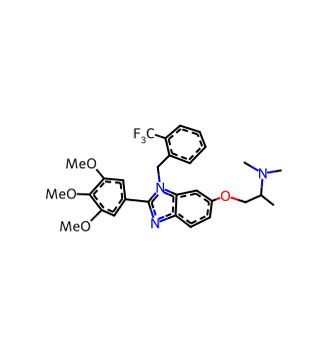 COc1cc(-c2nc3ccc(OCC(C)N(C)C)cc3n2Cc2ccccc2C(F)(F)F)cc(OC)c1OC